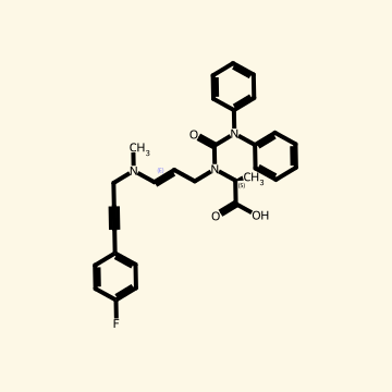 C[C@@H](C(=O)O)N(C/C=C/N(C)CC#Cc1ccc(F)cc1)C(=O)N(c1ccccc1)c1ccccc1